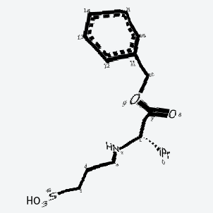 CC(C)[C@H](NCCCS(=O)(=O)O)C(=O)OCc1ccccc1